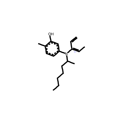 C=C/C(=C\C)N(c1ccc(C)c(O)c1)C(C)CCCCC